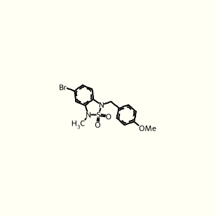 COc1ccc(CN2c3ccc(Br)cc3N(C)S2(=O)=O)cc1